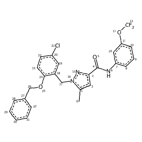 Cc1cc(C(=O)Nc2cccc(OC(F)(F)F)c2)nn1Cc1cc(Cl)ccc1OCc1ccccc1